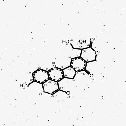 CC[C@@]1(O)C(=O)OCc2c1cc1n(c2=O)Cc2c-1nc1ccc(N)c3c1c2C(Cl)=CS3